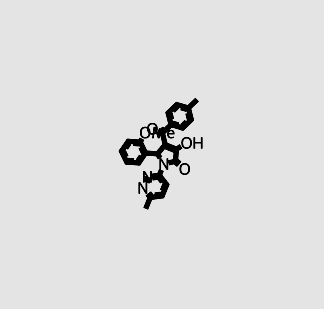 COc1ccccc1C1C(C(=O)c2ccc(C)cc2)=C(O)C(=O)N1c1ccc(C)nn1